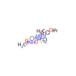 C=CC(=O)N[C@@H]1CCC[C@@H](NC(=O)c2sc3nccc4c3c2NC(=O)N4c2ccc(OC(C)C)cc2C)C1